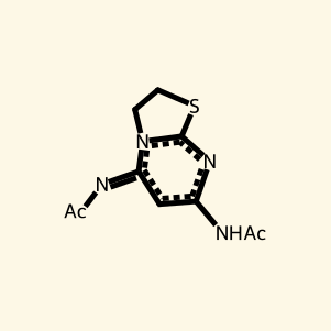 CC(=O)/N=c1\cc(NC(C)=O)nc2n1CCS2